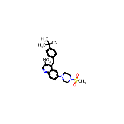 CC(C)(C#N)c1ccc(Cc2c([N+](=O)[O-])cnc3ccc(N4CCN(S(C)(=O)=O)CC4)cc23)cc1